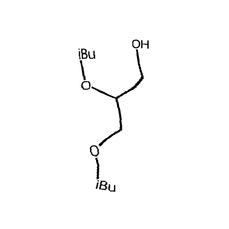 CCC(C)OCC(CO)OC(C)CC